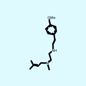 COc1ccc(CCNCCN(C)CC=C(C)C)cc1